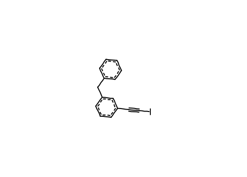 IC#Cc1cccc(Cc2ccccc2)c1